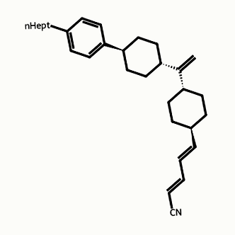 C=C([C@H]1CC[C@H](/C=C/C=C/C#N)CC1)[C@H]1CC[C@H](c2ccc(CCCCCCC)cc2)CC1